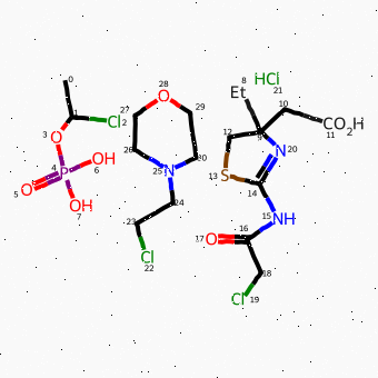 CC(Cl)OP(=O)(O)O.CCC1(CC(=O)O)CSC(NC(=O)CCl)=N1.Cl.ClCCN1CCOCC1